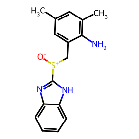 Cc1cc(C)c(N)c(C[S+]([O-])c2nc3ccccc3[nH]2)c1